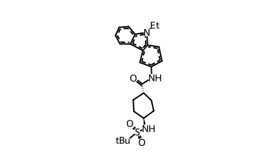 CCn1c2ccccc2c2cc(NC(=O)[C@H]3CC[C@H](NS(=O)(=O)C(C)(C)C)CC3)ccc21